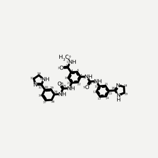 CNC(=O)c1cc(NC(=O)Nc2cccc(C3=NCCN3)c2)cc(NC(=O)NC2C=C(C3=NCCN3)C=CC2)c1